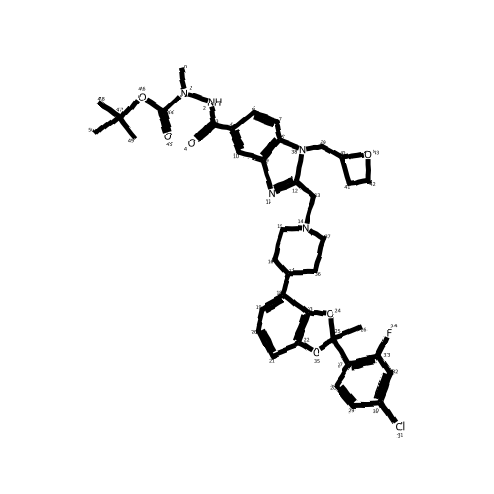 CN(NC(=O)c1ccc2c(c1)nc(CN1CCC(c3cccc4c3OC(C)(c3ccc(Cl)cc3F)O4)CC1)n2CC1CCO1)C(=O)OC(C)(C)C